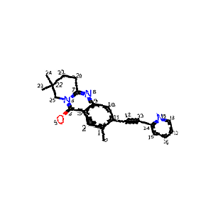 Cc1cc2c(=O)n3c(nc2cc1C#Cc1ccccn1)CCC(C)(C)C3